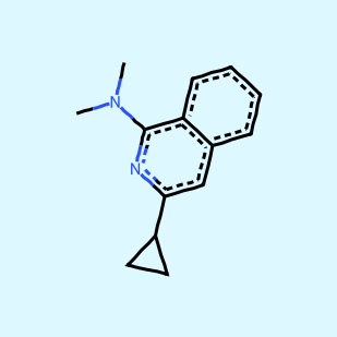 CN(C)c1nc(C2CC2)cc2ccccc12